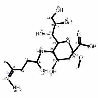 CO[C@]1(C(=O)O)C[C@@H](O)[C@@H](NC(O)CC/C(C)=N\N)C([C@H](O)[C@H](O)CO)O1